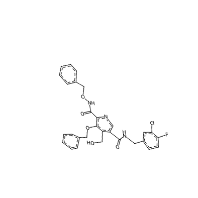 O=C(NCc1ccc(F)c(Cl)c1)c1cnc(C(=O)NOCc2ccccc2)c(OCc2ccccc2)c1CO